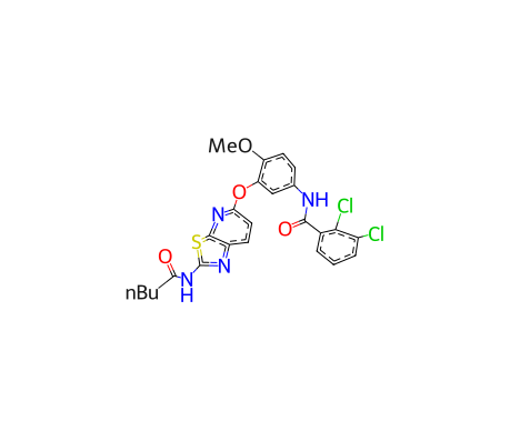 CCCCC(=O)Nc1nc2ccc(Oc3cc(NC(=O)c4cccc(Cl)c4Cl)ccc3OC)nc2s1